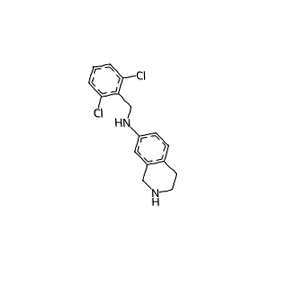 Clc1cccc(Cl)c1CNc1ccc2c(c1)CNCC2